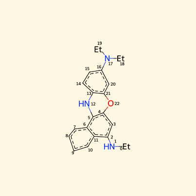 CCNc1cc2c(c3ccccc13)Nc1ccc(N(CC)CC)cc1O2